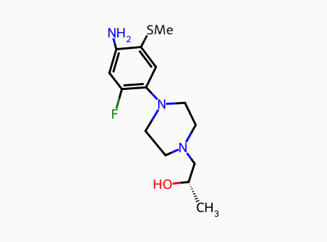 CSc1cc(N2CCN(C[C@H](C)O)CC2)c(F)cc1N